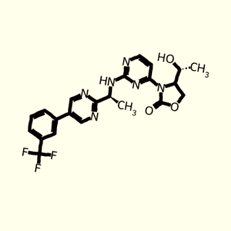 C[C@H](Nc1nccc(N2C(=O)OCC2[C@@H](C)O)n1)c1ncc(-c2cccc(C(F)(F)F)c2)cn1